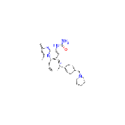 C=C1C=C(C)N2C(=N1)C(NC(N)=O)=CC1=C2CC#CC/C(C2=CCC(CN3C=CCCC3)CC2)=C\1